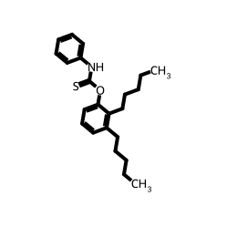 CCCCCc1cccc(OC(=S)Nc2ccccc2)c1CCCCC